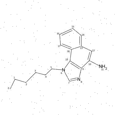 CCCCCCn1cnc2c(N)cc3ccccc3c21